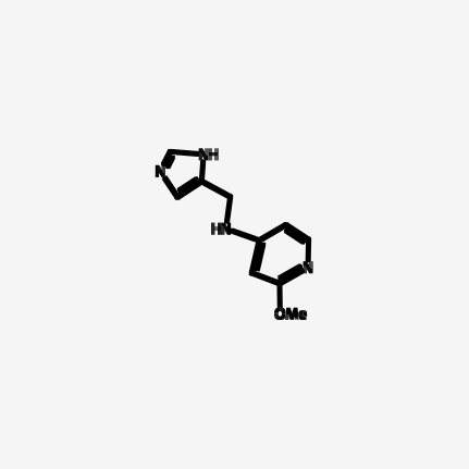 COc1cc(NCc2cnc[nH]2)ccn1